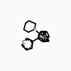 c1ccc([C]23[CH]4[CH]5[CH]6[C]2(P2CCCCC2)[Fe]54632789[CH]3[CH]2[CH]7[CH]8[CH]39)cc1